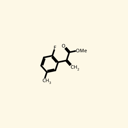 C=C(C(=O)OC)c1cc(C)ccc1F